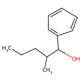 CCCC(C)C(O)c1ccccc1